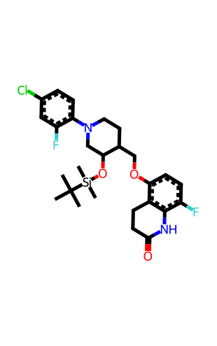 CC(C)(C)[Si](C)(C)OC1CN(c2ccc(Cl)cc2F)CCC1COc1ccc(F)c2c1CCC(=O)N2